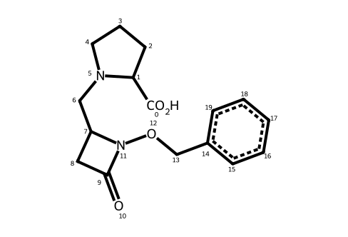 O=C(O)C1CCCN1CC1CC(=O)N1OCc1ccccc1